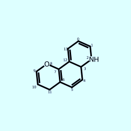 C1=CNC2C=CC3=C(OC=CC3)C2=C1